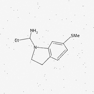 C[CH]C(N)N1CCc2ccc(SC)cc21